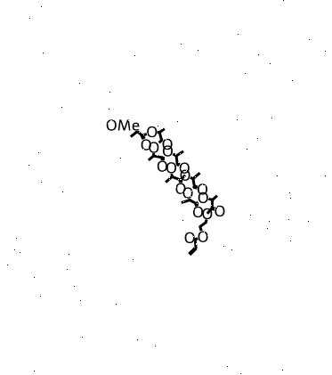 C=CC(=O)OCCOC(=O)C(C)OC(=O)C(C)OC(=O)C(C)OC(=O)C(C)OC(=O)C(C)OC(=O)C(C)OC(=O)C(C)OC(=O)C(C)OC